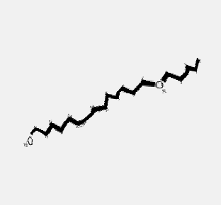 CCCCCOCCCCCCCCCCCCC[O]